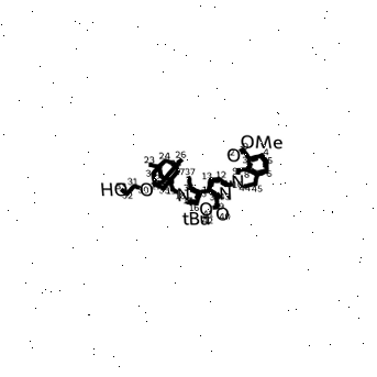 COC(=O)c1cccc2c1CN(c1ccc(-c3ccn(CC45CC6(C)CC(C)(C4)CC(OCCO)(C6)C5)c3C)c(C(=O)OC(C)(C)C)n1)CC2